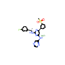 C[C@H](Nc1nc(Nc2cnccn2)cc(-c2cccc(S(C)(=O)=O)c2)n1)c1ccc(F)cc1.Cl